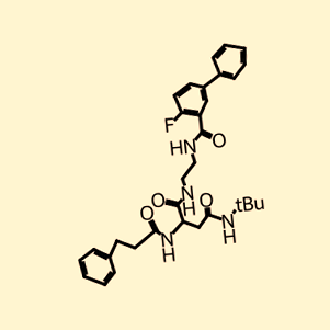 CC(C)(C)NC(=O)CC(NC(=O)CCc1ccccc1)C(=O)NCCNC(=O)c1cc(-c2ccccc2)ccc1F